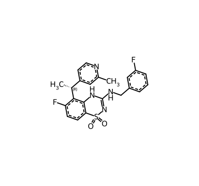 Cc1cc([C@@H](C)c2c(F)ccc3c2NC(NCc2cccc(F)c2)=NS3(=O)=O)ccn1